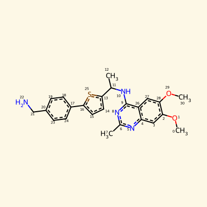 COc1cc2nc(C)nc(NC(C)c3ccc(-c4ccc(CN)cc4)s3)c2cc1OC